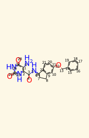 Nc1c(C(=O)N[C@@H]2CCc3cc(OCc4ccccc4)ccc32)[nH]c(=O)[nH]c1=O